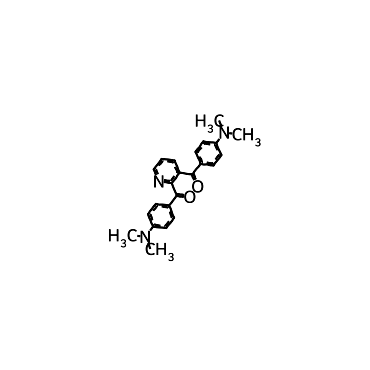 CN(C)c1ccc(C(=O)c2cccnc2C(=O)c2ccc(N(C)C)cc2)cc1